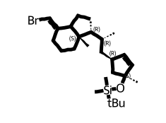 C[C@H](C[C@H]1C=C[C@@](C)(O[Si](C)(C)C(C)(C)C)C1)[C@H]1CCC2C(=CBr)CCC[C@]21C